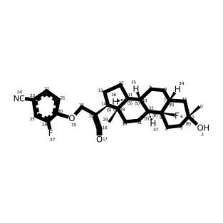 C[C@@]1(O)CC[C@@]2(F)[C@H](CC[C@H]3[C@@H]4CC[C@H](C(=C=O)COc5ccc(C#N)cc5F)[C@@]4(C)CC[C@@H]32)C1